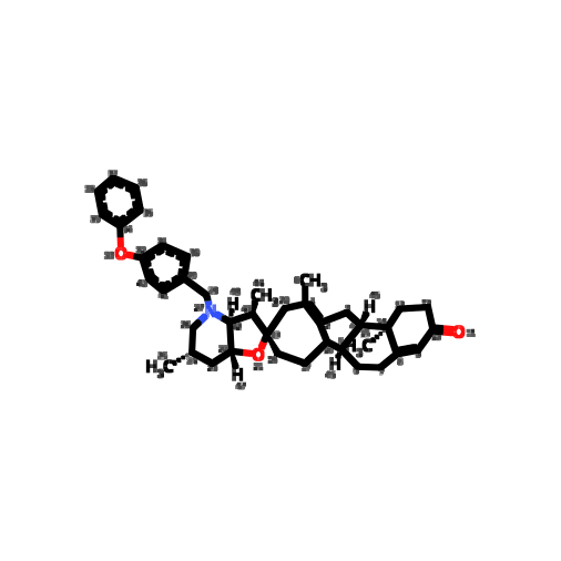 CC1=C2C[C@H]3[C@@H](CCC4=CC(=O)CC[C@@]43C)C2CC[C@@]2(C1)O[C@@H]1C[C@H](C)CN(Cc3ccc(Oc4ccccc4)cc3)[C@H]1[C@H]2C